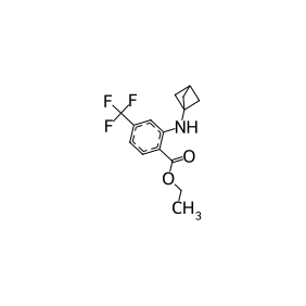 CCOC(=O)c1ccc(C(F)(F)F)cc1NC12CC(C1)C2